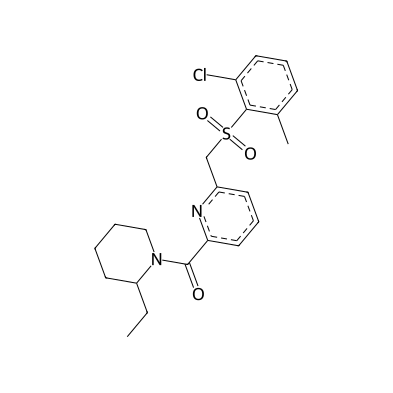 CCC1CCCCN1C(=O)c1cccc(CS(=O)(=O)c2c(C)cccc2Cl)n1